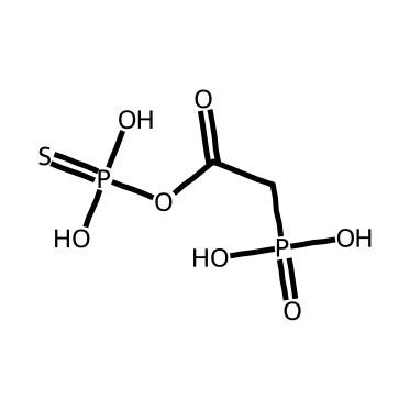 O=C(CP(=O)(O)O)OP(O)(O)=S